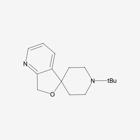 CC(C)(C)N1CCC2(CC1)OCc1ncccc12